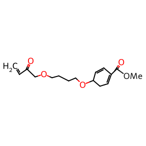 C=CC(=O)COCCCCOC1C=CC(C(=O)OC)=CC1